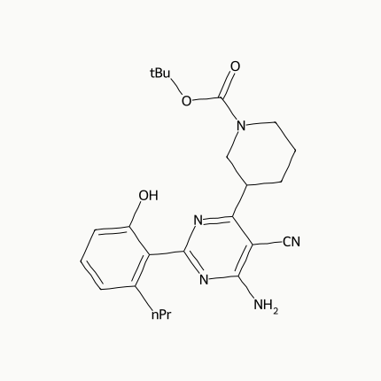 CCCc1cccc(O)c1-c1nc(N)c(C#N)c(C2CCCN(C(=O)OC(C)(C)C)C2)n1